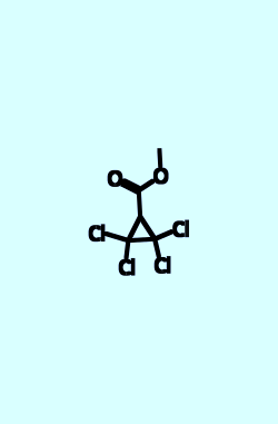 COC(=O)C1C(Cl)(Cl)C1(Cl)Cl